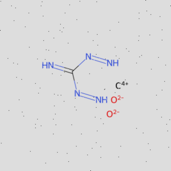 N=NC(=N)N=N.[C+4].[O-2].[O-2]